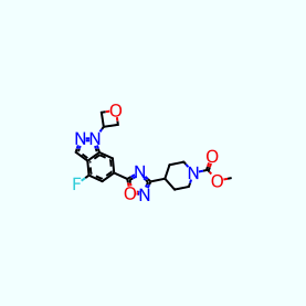 COC(=O)N1CCC(c2noc(-c3cc(F)c4cnn(C5COC5)c4c3)n2)CC1